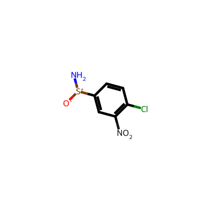 N[S+]([O-])c1ccc(Cl)c([N+](=O)[O-])c1